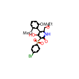 CCOCc1[nH]c(=O)c(S(=O)(=O)c2ccc(Br)cc2)c(O)c1-c1c(OC)cccc1OC